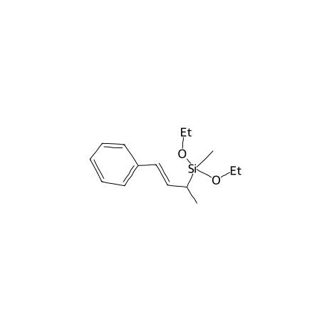 CCO[Si](C)(OCC)C(C)C=Cc1ccccc1